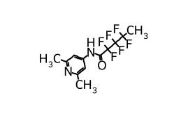 Cc1cc(NC(=O)C(F)(F)C(F)(F)C(C)(F)F)cc(C)n1